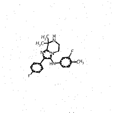 Cc1ccc(Nc2c(-c3ccc(F)cc3)nc3n2CCNC3(C)C)cc1F